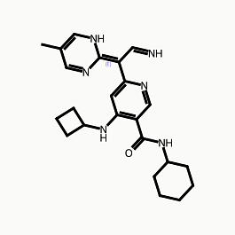 CC1=CN/C(=C(\C=N)c2cc(NC3CCC3)c(C(=O)NC3CCCCC3)cn2)N=C1